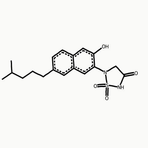 CC(C)CCCc1ccc2cc(O)c(N3CC(=O)NS3(=O)=O)cc2c1